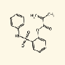 C=C(C)C(=O)Oc1ccccc1S(=O)(=O)Nc1ccccc1